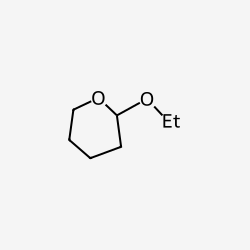 [CH2]COC1CCCCO1